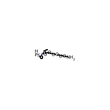 C#CCN(C/C=C/c1ccccc1SCPC)C(=O)CCOCCOCCOCCOCCOCCN